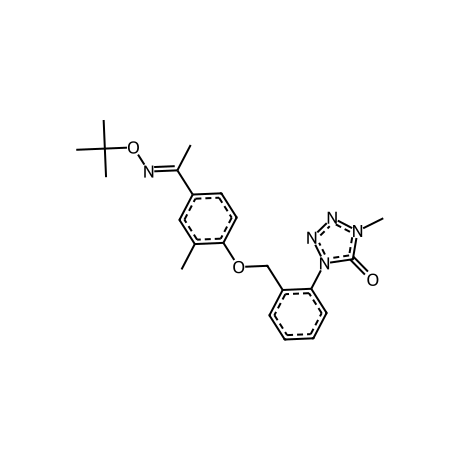 CC(=NOC(C)(C)C)c1ccc(OCc2ccccc2-n2nnn(C)c2=O)c(C)c1